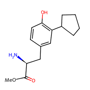 COC(=O)[C@@H](N)Cc1ccc(O)c(C2CCCC2)c1